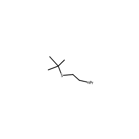 [CH2]CCCCSC(C)(C)C